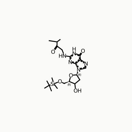 CC(C)C(=O)CNc1nc2c(ncn2[C@H]2CC(O)[C@@H](CO[Si](C)(C)C(C)(C)C)O2)c(=O)[nH]1